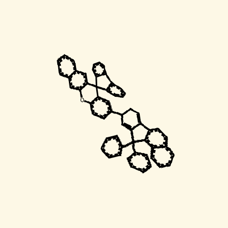 C1=C2C(=CC(c3ccc4c(c3)C3(c5cc6ccccc6cc5O4)c4ccccc4-c4ccccc43)C1)C(c1ccccc1)(c1ccccc1)c1c2ccc2ccccc12